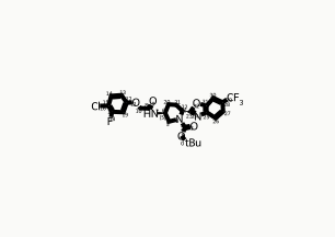 CC(C)(C)OC(=O)N1C[C@@H](NC(=O)COc2ccc(Cl)c(F)c2)CC[C@@H]1c1nc2ccc(C(F)(F)F)cc2o1